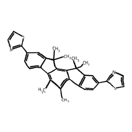 Cc1c(C)c2c(c3c1-c1ccc(-c4nccs4)cc1C3(C)C)C(C)(C)c1cc(-c3nccs3)ccc1-2